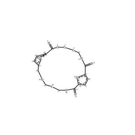 O=C1OCCCOC(=O)c2ccc(o2)C(=O)OCCCOCc2ccc1o2